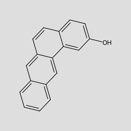 Oc1ccc2ccc3cc4ccccc4cc3c2c1